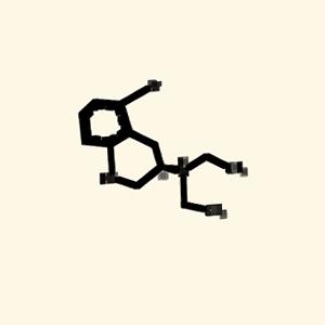 CC[SiH](CC)[C@H]1CNc2cccc(Br)c2C1